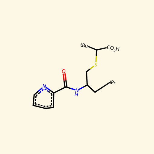 CC(C)CC(CSC(C(=O)O)C(C)(C)C)NC(=O)c1ccccn1